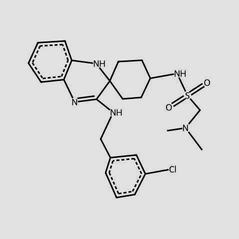 CN(C)CS(=O)(=O)NC1CCC2(CC1)Nc1ccccc1N=C2NCc1cccc(Cl)c1